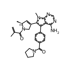 C=C(C)C(=O)N1CC(c2c(-c3ccc(C(=O)N4CCCC4)cc3)c3c(N)ncnc3n2C)=C[C@@H]1C